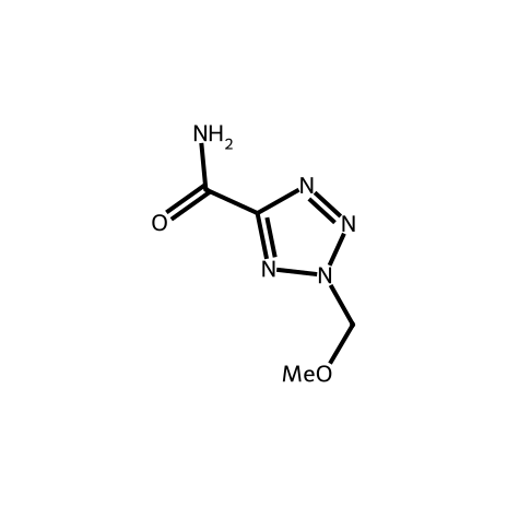 COCn1nnc(C(N)=O)n1